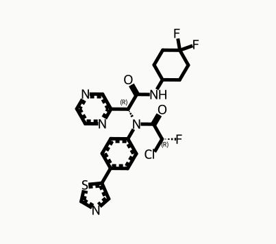 O=C(NC1CCC(F)(F)CC1)[C@@H](c1cnccn1)N(C(=O)[C@H](F)Cl)c1ccc(-c2cncs2)cc1